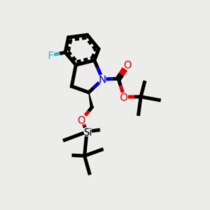 CC(C)(C)OC(=O)N1c2cccc(F)c2C[C@@H]1CO[Si](C)(C)C(C)(C)C